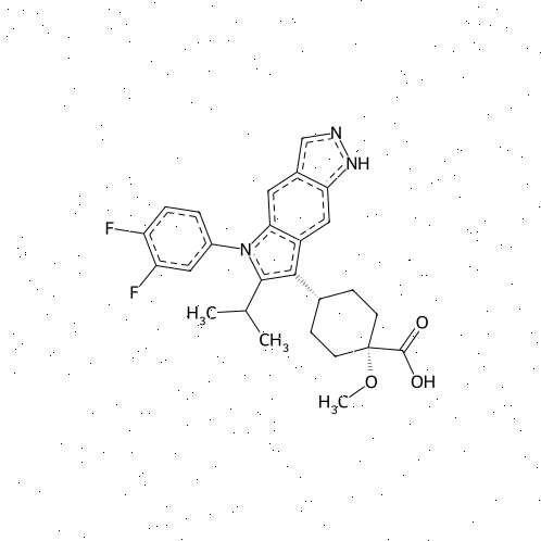 CO[C@]1(C(=O)O)CC[C@H](c2c(C(C)C)n(-c3ccc(F)c(F)c3)c3cc4cn[nH]c4cc32)CC1